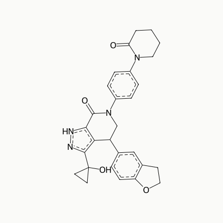 O=C1CCCCN1c1ccc(N2CC(c3ccc4c(c3)CCO4)c3c(C4(O)CC4)n[nH]c3C2=O)cc1